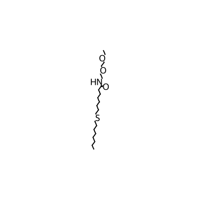 CCCCCCCCSCCCCCCCC(=O)NCCOCCOCC